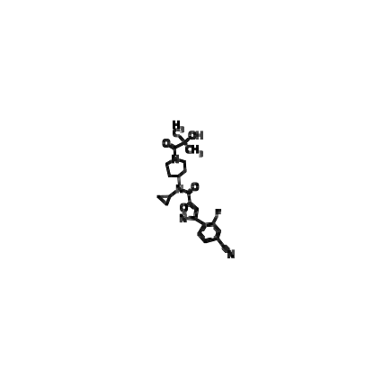 CC(C)(O)C(=O)N1CCC(N(C(=O)c2cc(-c3ccc(C#N)cc3F)no2)C2CC2)CC1